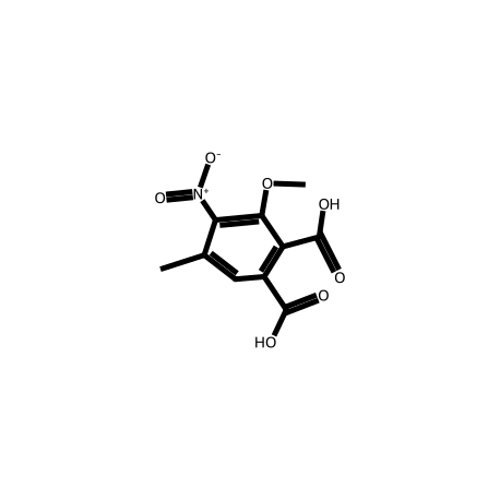 COc1c(C(=O)O)c(C(=O)O)cc(C)c1[N+](=O)[O-]